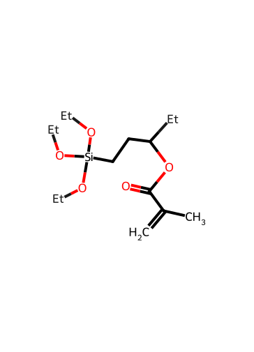 C=C(C)C(=O)OC(CC)CC[Si](OCC)(OCC)OCC